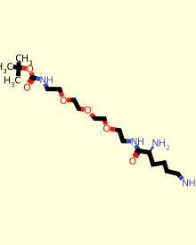 CC(C)(C)OC(=O)NCCOCCOCCOCCNC(=O)[C@@H](N)CCCCN